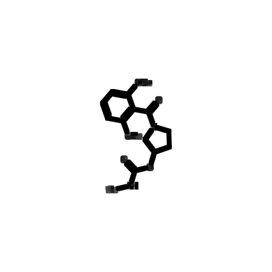 COc1cccc(OC)c1C(=O)N1CCC(OC(=O)NC(C)(C)C)C1